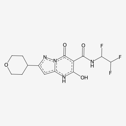 O=C(NC(F)C(F)F)c1c(O)[nH]c2cc(C3CCOCC3)nn2c1=O